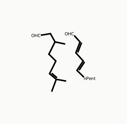 CC(C)=CCCC(C)CC=O.CCCCCC=C/C=C/C=O